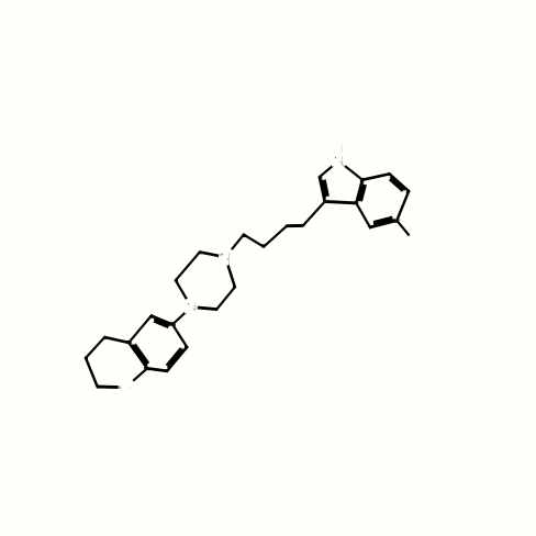 O=C(O)c1ccc2[nH]cc(CCCCN3CCN(c4ccc5c(c4)CCCO5)CC3)c2c1